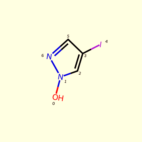 On1cc(I)cn1